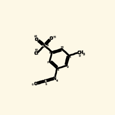 Cc1cc(N=C=O)cc(S(=O)(=O)Cl)c1